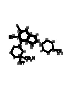 CCC[C@@]1(C(=O)O)CCCN(c2c(C(C)C)c(C)nc3cc([C@H]4CC[C@H](C(F)(F)F)CC4)nn23)C1